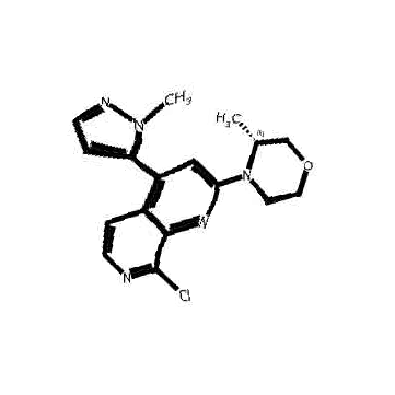 C[C@@H]1COCCN1c1cc(-c2ccnn2C)c2ccnc(Cl)c2n1